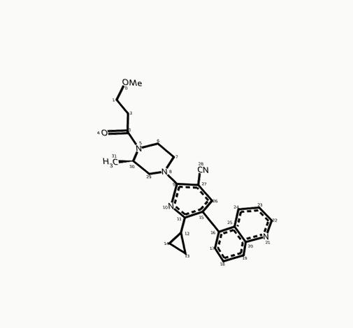 COCCC(=O)N1CCN(c2nc(C3CC3)c(-c3cccc4ncccc34)cc2C#N)C[C@H]1C